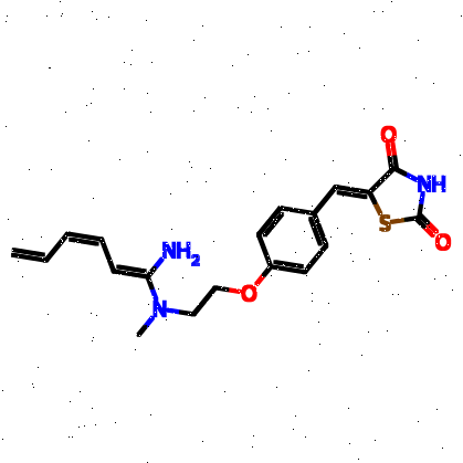 C=C/C=C\C=C(/N)N(C)CCOc1ccc(/C=C2\SC(=O)NC2=O)cc1